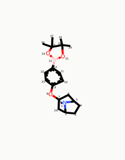 CN1C2CCC1CC(Oc1ccc(B3OC(C)(C)C(C)(C)O3)cc1)C2